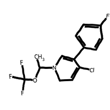 CC(OC(F)(F)F)N1C=C(c2ccc(F)cc2)C(Cl)=CC1